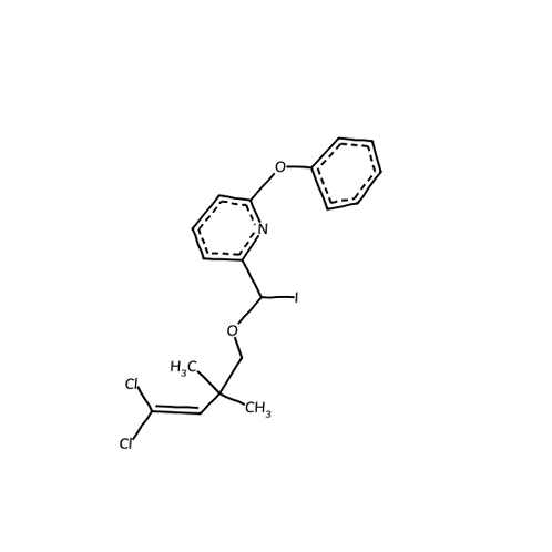 CC(C)(C=C(Cl)Cl)COC(I)c1cccc(Oc2ccccc2)n1